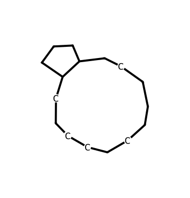 C1CCCCCC2CCCC2CCCCC1